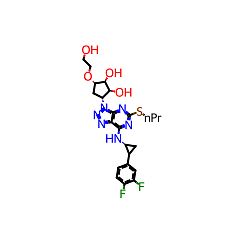 CCCSc1nc(N[C@@H]2CC2c2ccc(F)c(F)c2)c2nnn([C@@H]3C[C@H](OCCO)[C@@H](O)[C@H]3O)c2n1